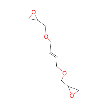 C(=CCOCC1CO1)COCC1CO1